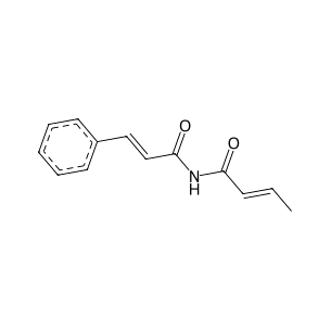 C/C=C/C(=O)NC(=O)/C=C/c1ccccc1